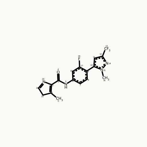 CC1=C(C(=O)Nc2ccc(-c3cc(C(F)(F)F)nn3C)c(F)c2)N=CC1